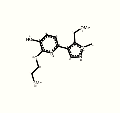 COCc1c(-c2ccc(O)c(OCCSC)n2)cnn1C